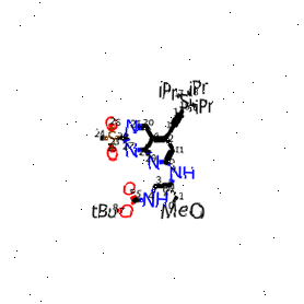 COC[C@H](CNC(=O)OC(C)(C)C)Nc1cc(C#C[Si](C(C)C)(C(C)C)C(C)C)c2cnc(S(C)(=O)=O)nc2n1